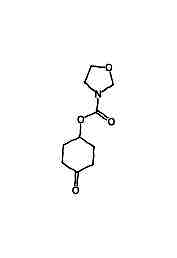 O=C1CCC(OC(=O)N2CCOC2)CC1